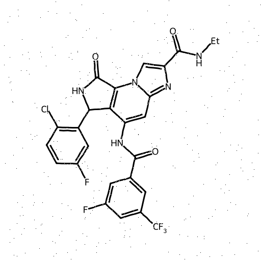 CCNC(=O)c1cn2c3c(c(NC(=O)c4cc(F)cc(C(F)(F)F)c4)cc2n1)C(c1cc(F)ccc1Cl)NC3=O